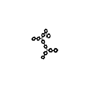 CC1(n2c3ccccc3c3ccc(N(c4ccc(-c5ccccc5)cc4)c4ccc(-c5ccc(N(c6ccc(-c7ccccc7)cc6)c6ccc(-c7ccccc7)cc6)cc5)cc4)cc32)C=CC=CC1